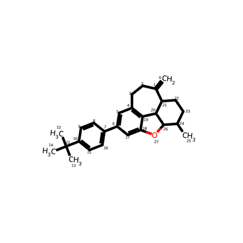 C=C1CCc2cc(-c3ccc(C(C)(C)C)cc3)cc3c2C2C1CCC(C)C2O3